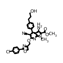 COC(=O)c1c(N)c2c(-c3ccc(CCCO)cc3)c(C#N)c(OCc3coc(-c4ccc(Cl)cc4)n3)nc2n1C